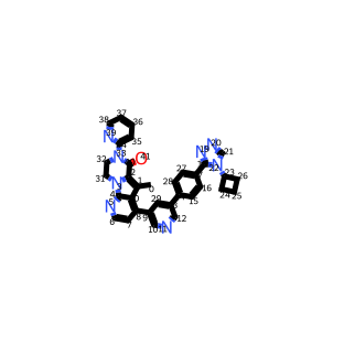 Cc1c2n(c3nccc(-c4cncc(-c5ccc(-c6nncn6C6CCC6)cc5)c4)c13)CCN(c1ccccn1)C2=O